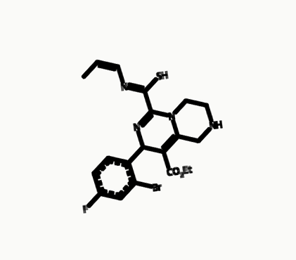 C/C=C\N=C(/S)C1=NC(c2ccc(F)cc2Br)C(C(=O)OCC)=C2CNCCN12